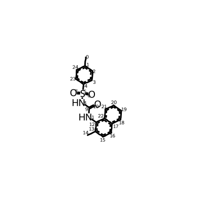 Cc1ccc(S(=O)(=O)NC(=O)Nc2c(C)ccc3ccccc23)cc1